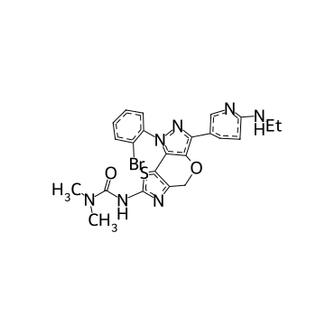 CCNc1ccc(-c2nn(-c3ccccc3Br)c3c2OCc2nc(NC(=O)N(C)C)sc2-3)cn1